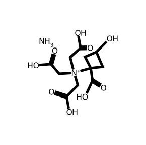 N.O=C(O)C[N+](CC(=O)O)(CC(=O)O)C1(C(=O)O)CC(O)C1